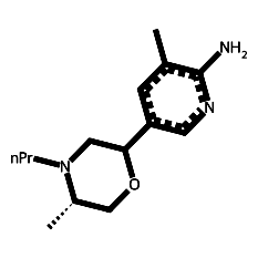 CCCN1CC(c2cnc(N)c(C)c2)OC[C@@H]1C